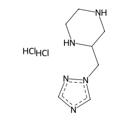 Cl.Cl.c1ncn(CC2CNCCN2)n1